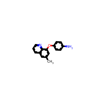 Cc1cc(Oc2ccc(N)cc2)c2ncccc2c1